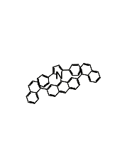 c1ccc(-c2ccc(-c3ccccc3)n2-c2c3cc(-c4cccc5ccccc45)ccc3cc3ccc(-c4cccc5ccccc45)cc23)cc1